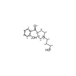 O=C(c1ccccc1O)C1CCN(CCCO)CC1